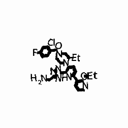 CCOc1ncccc1-c1ccc(N2CCN(C(=O)c3ccc(F)cc3Cl)C[C@H]2CC)c(-c2nnc(CN)[nH]2)n1